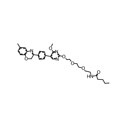 CCCCC(=O)NCCOCCOCCOc1ncc(-c2ccc(C3=Nc4cc(C)ccc4OC3)cc2)c(OC)n1